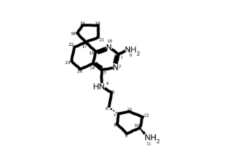 Nc1nc(NCC[C@H]2CC[C@H](N)CC2)c2c(n1)C1(CCCC1)CCC2